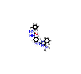 Cc1ccccc1NC(=O)N[C@H]1CC[C@@H](Nc2nc3c(c(N(C)C)n2)CCCC3)CC1